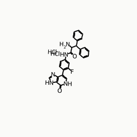 Cl.Cl.NC(C(=O)Nc1ccc(-c2c[nH]c(=O)c3[nH]cnc23)c(F)c1)C(c1ccccc1)c1ccccc1